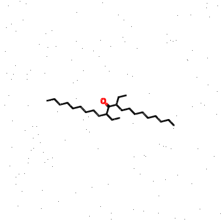 CCCCCCCCCC(CC)C(=O)C(CC)CCCCCCCCC